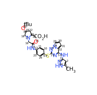 Cc1cc(Nc2nc(Sc3ccc(NC(=O)CN4C[C@H](OC(C)(C)C)C[C@H]4C(=O)O)cc3)nn3cccc23)n[nH]1